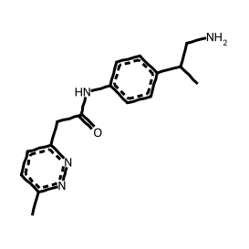 Cc1ccc(CC(=O)Nc2ccc(C(C)CN)cc2)nn1